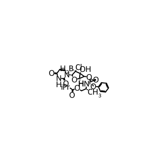 B[C@@]1(Cl)[C@H](n2ccc(=O)[nH]c2=O)O[C@@H]2C(O[P@@](=O)(N[C@@H](C)COC(=O)C(C)C)Oc3ccccc3)[C@@]21O